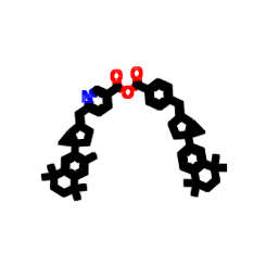 Cc1cc2c(cc1C13CCC(=Cc4ccc(C(=O)OC(=O)c5ccc(C=C6CCC7(c8ccc9c(c8)C(C)(C)CCC9(C)C)CC67)cc5)cn4)C1C3)C(C)(C)CCC2(C)C